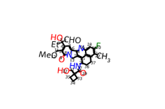 CC[C@@](O)(C=O)c1cc2n(c(=O)c1COC)Cc1c-2nc2cc(F)c(C)c3c2c1C(NC(=O)C1(CO)CCC1)CC3